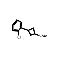 CNC1CC(c2ccccc2C)C1